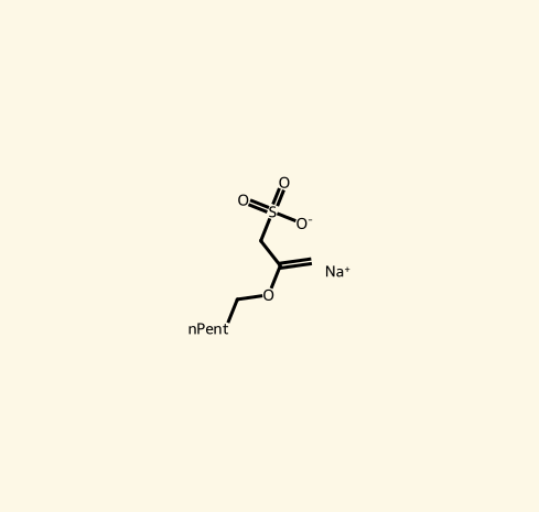 C=C(CS(=O)(=O)[O-])OCCCCCC.[Na+]